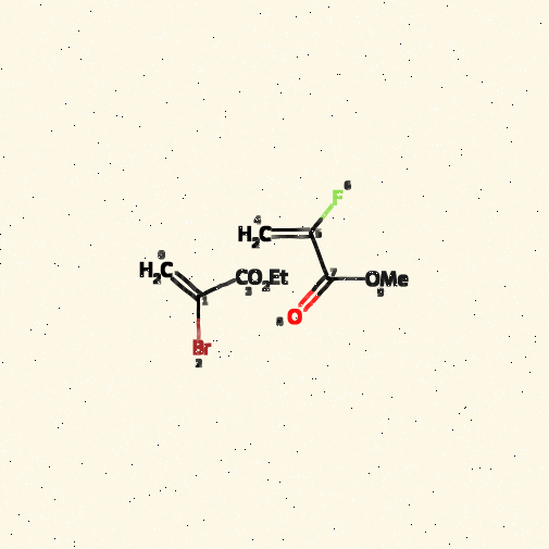 C=C(Br)C(=O)OCC.C=C(F)C(=O)OC